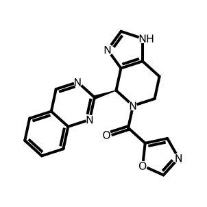 O=C(c1cnco1)N1CCc2[nH]cnc2[C@@H]1c1ncc2ccccc2n1